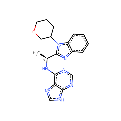 C[C@H](Nc1ncnc2[nH]cnc12)c1nc2ccccc2n1C1CCCOC1